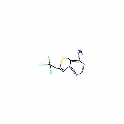 Nc1ccnc2cc(C(F)(F)F)sc12